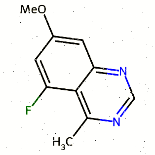 COc1cc(F)c2c(C)ncnc2c1